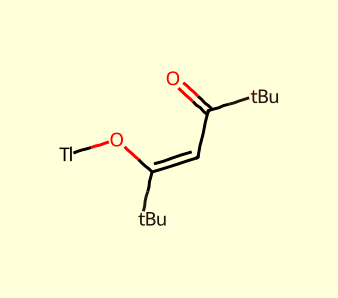 CC(C)(C)C(=O)/C=C(\[O][Tl])C(C)(C)C